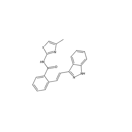 Cc1csc(NC(=O)c2ccccc2C=Cc2n[nH]c3ccccc23)n1